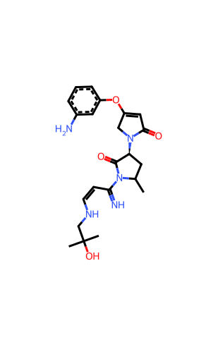 CC1C[C@H](N2CC(Oc3cccc(N)c3)=CC2=O)C(=O)N1C(=N)/C=C\NCC(C)(C)O